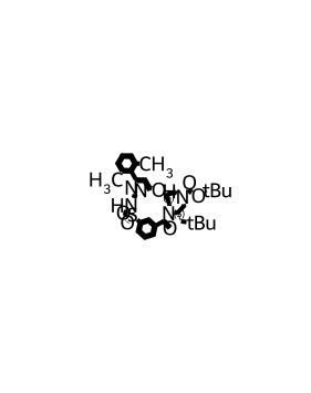 Cc1cccc(C)c1-c1cc2nc(n1)NS(=O)(=O)c1cccc(c1)C(=O)N1C[C@@H](CN(C(=O)OC(C)(C)C)C[C@@H]1CC(C)(C)C)O2